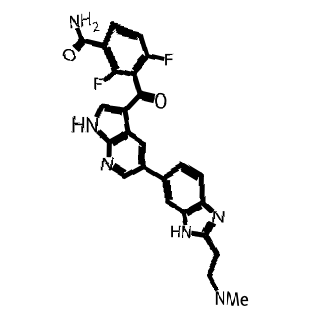 CNCCc1nc2ccc(-c3cnc4[nH]cc(C(=O)c5c(F)ccc(C(N)=O)c5F)c4c3)cc2[nH]1